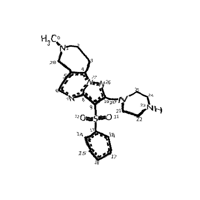 CN1CCc2c(cnc3c(S(=O)(=O)c4ccccc4)c(N4CCNCC4)nn23)C1